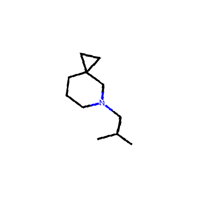 CC(C)CN1CCCC2(CC2)C1